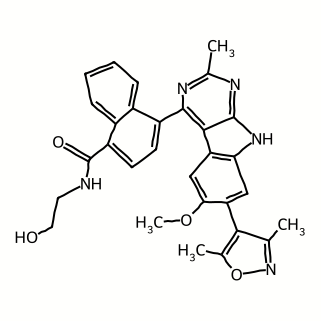 COc1cc2c(cc1-c1c(C)noc1C)[nH]c1nc(C)nc(-c3ccc(C(=O)NCCO)c4ccccc34)c12